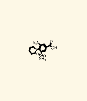 Nc1cc(C(=O)O)cc(S(N)(=O)=O)c1N1CCCCC1